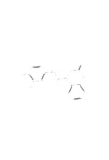 O=C1CN(C(O)Nc2ccc(F)c(Cl)c2)c2ccccc2N1